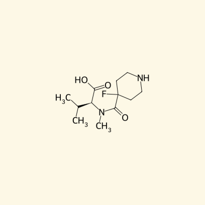 CC(C)[C@@H](C(=O)O)N(C)C(=O)C1(F)CCNCC1